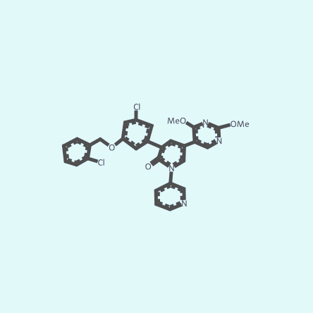 COc1ncc(-c2cc(-c3cc(Cl)cc(OCc4ccccc4Cl)c3)c(=O)n(-c3cccnc3)c2)c(OC)n1